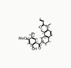 C=CC(=O)N(C)c1ccc2c(c1C)CN(C(=O)c1cc(C(C)C)c(OC)cc1O)CC2